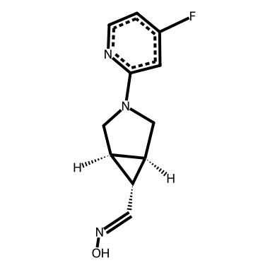 O/N=C/[C@@H]1[C@H]2CN(c3cc(F)ccn3)C[C@@H]12